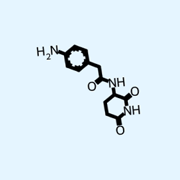 Nc1ccc(CC(=O)NC2CCC(=O)NC2=O)cc1